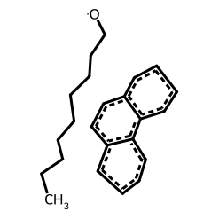 CCCCCCCCC[O].c1ccc2c(c1)ccc1ccccc12